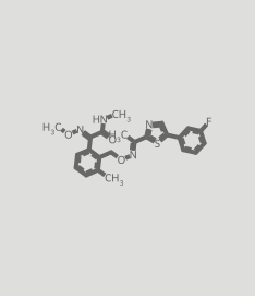 CNC(=O)/C(=N/OC)c1cccc(C)c1CO/N=C(\C)c1ncc(-c2cccc(F)c2)s1